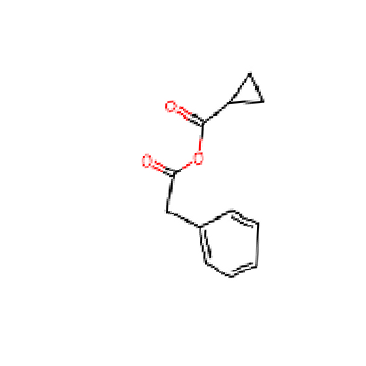 O=C(Cc1ccccc1)OC(=O)C1CC1